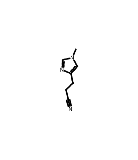 Cn1cnc(CCC#N)c1